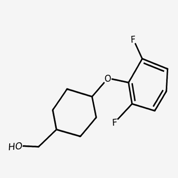 OCC1CCC(Oc2c(F)cccc2F)CC1